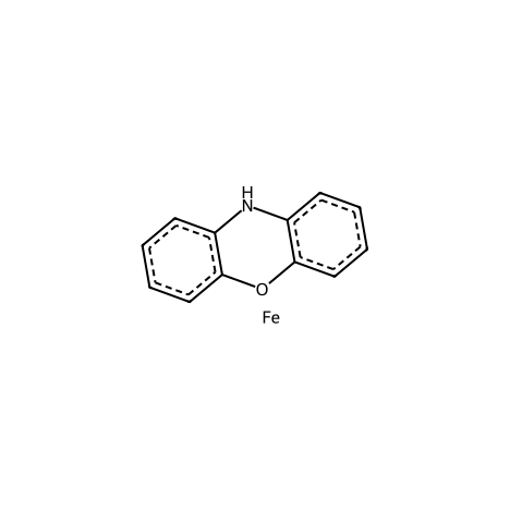 [Fe].c1ccc2c(c1)Nc1ccccc1O2